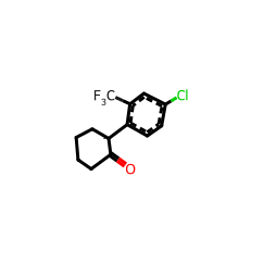 O=C1CCCC[C]1c1ccc(Cl)cc1C(F)(F)F